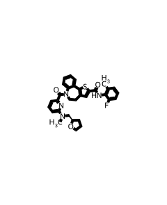 Cc1cccc(F)c1NC(=O)c1cc2c(s1)-c1ccccc1N(C(=O)c1cccc(N(C)C[C@H]3CCCO3)n1)CC2